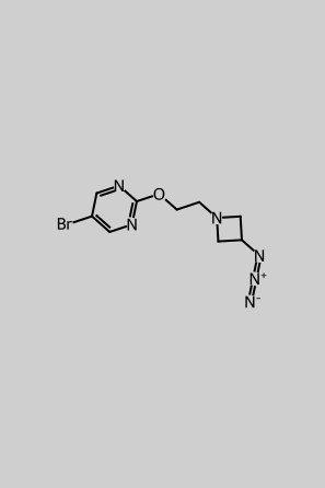 [N-]=[N+]=NC1CN(CCOc2ncc(Br)cn2)C1